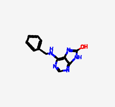 Oc1nc2c(NCc3ccccc3)ncnc2[nH]1